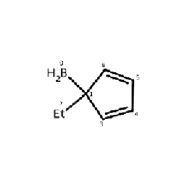 BC1(CC)C=CC=C1